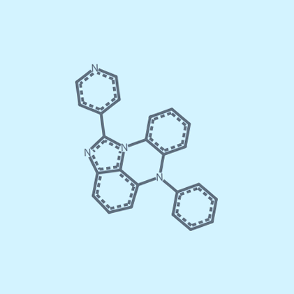 c1ccc(N2c3ccccc3-n3c(-c4ccncc4)nc4cccc2c43)cc1